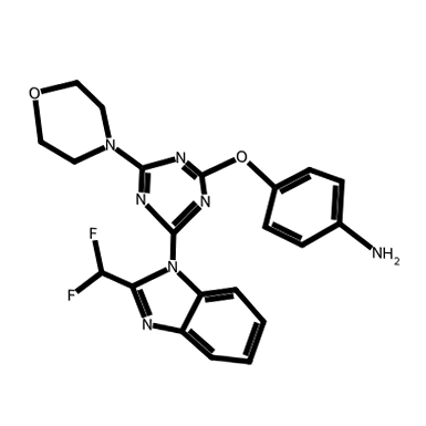 Nc1ccc(Oc2nc(N3CCOCC3)nc(-n3c(C(F)F)nc4ccccc43)n2)cc1